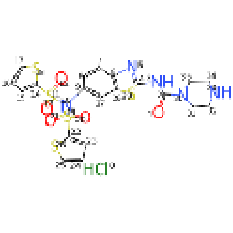 Cl.O=C(Nc1nc2ccc(N(S(=O)(=O)c3cccs3)S(=O)(=O)c3cccs3)cc2s1)N1CCNCC1